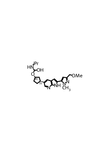 COCc1cc(-c2cc3cc([C@H]4CC[C@@H](OC(O)NC(C)C)C4)cnc3[nH]2)n(C)n1